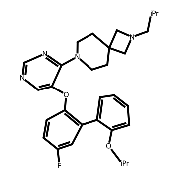 CC(C)CN1CC2(CCN(c3ncncc3Oc3ccc(F)cc3-c3ccccc3OC(C)C)CC2)C1